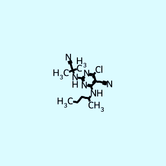 CCCC(C)Nc1nc(NC(C)(C)C#N)nc(Cl)c1C#N